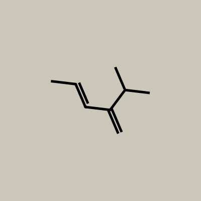 C=C(/C=C/C)C(C)C